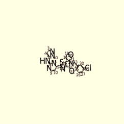 Cn1nccc1Nc1nccc(-c2nc3c(s2)C2(CCOC2)N(Cc2cccc(Cl)c2)C3=O)n1